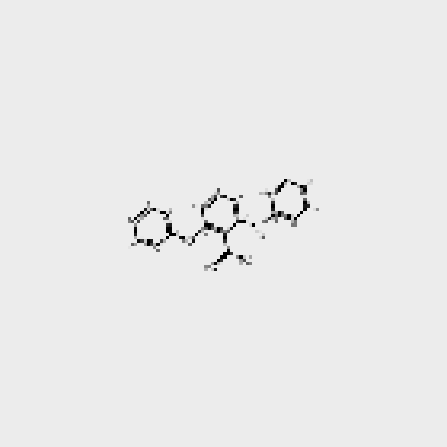 O=C(Cl)c1c(Oc2ccccc2)cccc1Oc1ccccc1